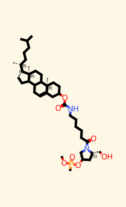 COP(C)(=O)OC1C[C@@H](CO)N(C(=O)CCCCCNC(=O)OC2CC[C@@]3(C)C(=CCC4C3CC[C@@]3(C)C4CC[C@@H]3[C@H](C)CCCC(C)C)C2)C1